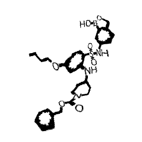 CCCCOc1ccc(S(=O)(=O)Nc2ccc3c(c2)B(O)OC3)c(NC2CCN(C(=O)OCc3ccccc3)CC2)c1